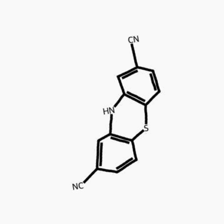 N#Cc1ccc2c(c1)Nc1cc(C#N)ccc1S2